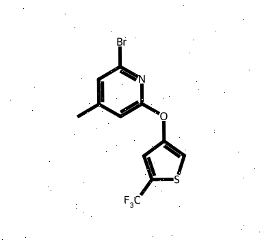 Cc1cc(Br)nc(Oc2csc(C(F)(F)F)c2)c1